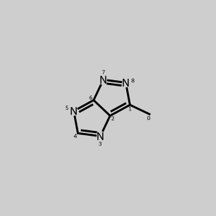 CC1=C2N=CN=C2N=N1